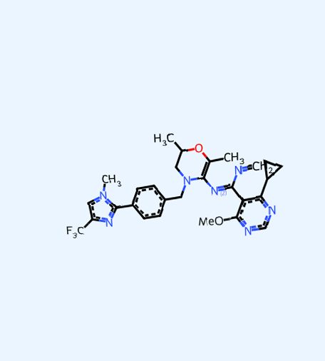 C=N/C(=N\C1=C(C)OC(C)CN1Cc1ccc(-c2nc(C(F)(F)F)cn2C)cc1)c1c(OC)ncnc1C1CC1